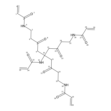 C=CC(=O)NCCC(=O)CC(CC(=O)CCNC(=O)C=C)(CC(=O)CCNC(=O)C=C)NC(=O)C=C